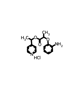 CC(Oc1ccccc1N)C(=O)OC(C)c1ccncc1.Cl